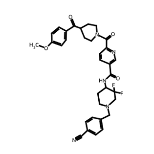 COc1ccc(C(=O)C2CCN(C(=O)c3ccc(C(=O)NC4CCN(Cc5ccc(C#N)cc5)CC4(F)F)cn3)CC2)cc1